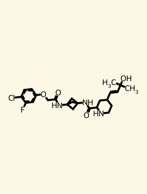 CC(C)(O)/C=C/C1CCNC(C(=O)NC23CC(NC(=O)COc4ccc(Cl)c(F)c4)(C2)C3)C1